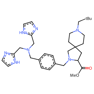 COC(=O)C1CC2(CCN(CC(C)(C)C)CC2)CN1Cc1ccc(CN(Cc2ncc[nH]2)Cc2ncc[nH]2)cc1